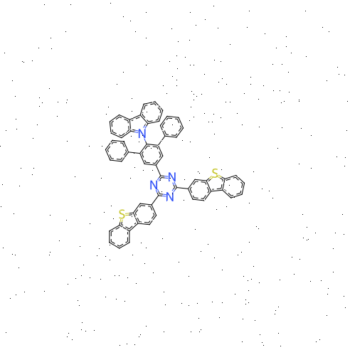 c1ccc(-c2cc(-c3nc(-c4ccc5c(c4)sc4ccccc45)nc(-c4ccc5c(c4)sc4ccccc45)n3)cc(-c3ccccc3)c2-n2c3ccccc3c3ccccc32)cc1